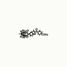 COc1ccc(C(=O)c2cc3cc(N4C(=O)[C@@H]5[C@@H]6C=C[C@@H]([C@H]7C[C@@H]67)[C@@H]5C4=O)ccc3o2)cc1